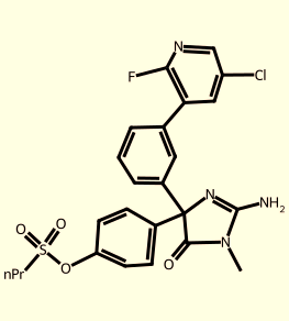 CCCS(=O)(=O)Oc1ccc(C2(c3cccc(-c4cc(Cl)cnc4F)c3)N=C(N)N(C)C2=O)cc1